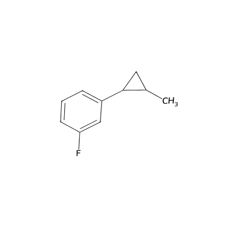 CC1CC1c1cccc(F)c1